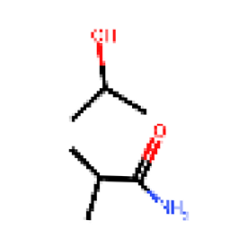 CC(C)C(N)=O.CC(C)O